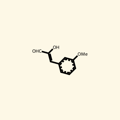 COc1cccc(C=C(O)C=O)c1